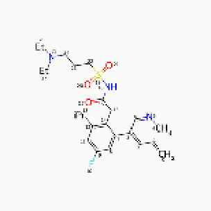 C=C/C=C(\C=N/C)c1cc(F)cc(C(C)C)c1CC(=O)NS(=O)(=O)CCCN(CC)CC